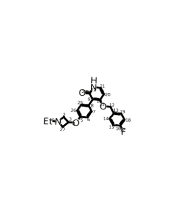 CCN1CC(Oc2ccc(-c3c(OCc4ccc(F)cc4)cc[nH]c3=O)cc2)C1